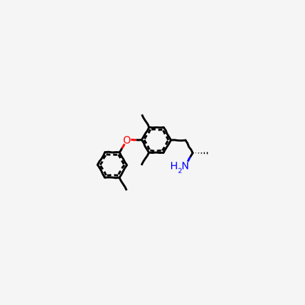 Cc1cccc(Oc2c(C)cc(C[C@H](C)N)cc2C)c1